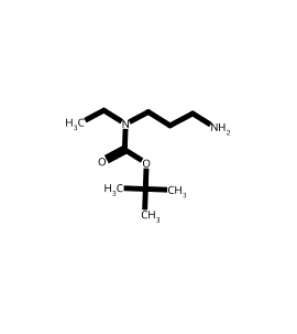 CCN(CCCN)C(=O)OC(C)(C)C